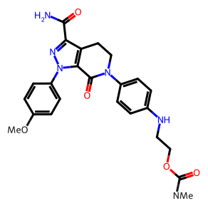 CNC(=O)OCCNc1ccc(N2CCc3c(C(N)=O)nn(-c4ccc(OC)cc4)c3C2=O)cc1